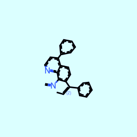 C=Nc1c(/C(=C\C)c2ccccc2)ccc2c(-c3ccccc3)ccnc12